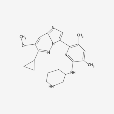 COc1cc2ncc(-c3nc(NC4CCCNC4)c(C)cc3C)n2nc1C1CC1